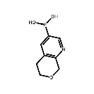 OB(O)c1cnc2c(c1)CCOC2